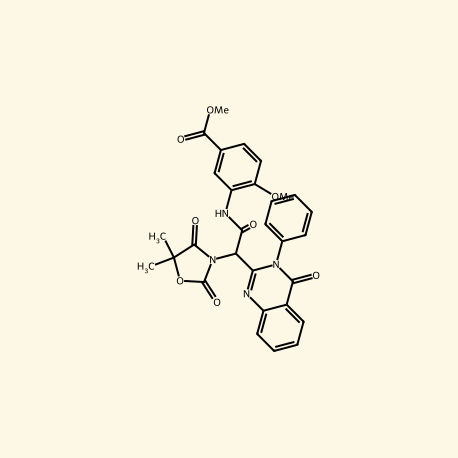 COC(=O)c1ccc(OC)c(NC(=O)C(c2nc3ccccc3c(=O)n2-c2ccccc2)N2C(=O)OC(C)(C)C2=O)c1